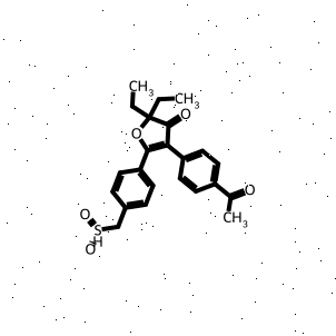 CCC1(CC)OC(c2ccc(C[SH](=O)=O)cc2)=C(c2ccc(C(C)=O)cc2)C1=O